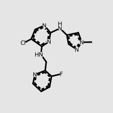 Cn1cc(Nc2ncc(Cl)c(NCc3ncccc3F)n2)cn1